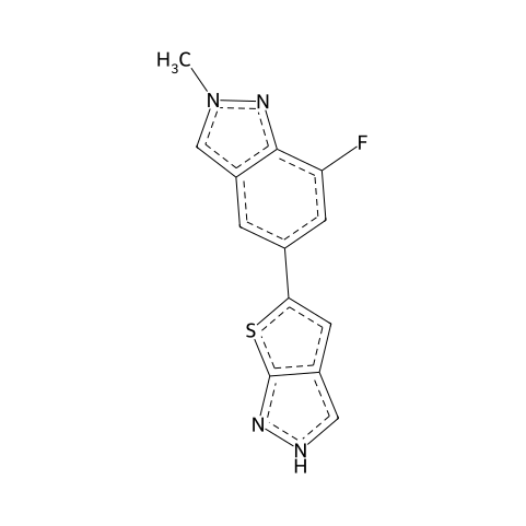 Cn1cc2cc(-c3cc4c[nH]nc4s3)cc(F)c2n1